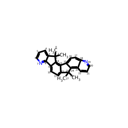 CC1(C)c2cccnc2-c2ccc3c(c21)-c1ccc2ncccc2c1C3(C)C